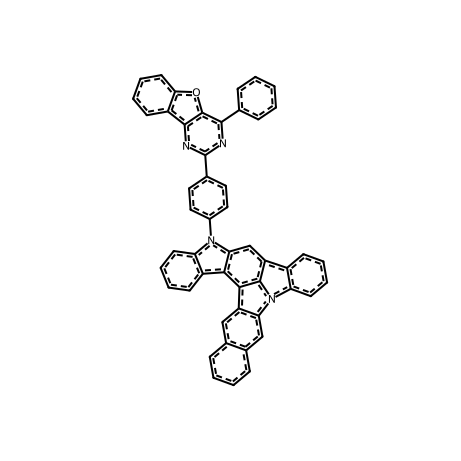 c1ccc(-c2nc(-c3ccc(-n4c5ccccc5c5c6c7cc8ccccc8cc7n7c8ccccc8c(cc54)c67)cc3)nc3c2oc2ccccc23)cc1